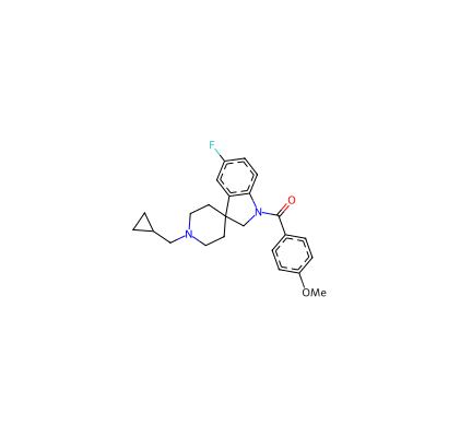 COc1ccc(C(=O)N2CC3(CCN(CC4CC4)CC3)c3cc(F)ccc32)cc1